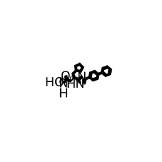 O=C(C[C@@H](CC1CCCC1)c1nc(-c2ccc(-c3ccccc3)cc2)c[nH]1)NO